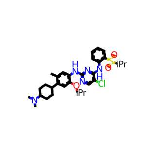 Cc1cc(Nc2ncc(Cl)c(Nc3ccccc3S(=O)(=O)C(C)C)n2)c(OC(C)C)cc1C1CCC(N(C)C)CC1